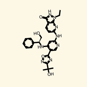 CCn1[nH]c(=O)c2ccc(Nc3cc(N[C@H](CO)c4ccccc4)c(-c4nc(C(C)(C)O)no4)cn3)nc21